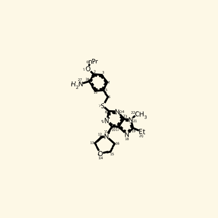 CCCOc1ccc(CSc2nc(N3CCOCC3)c3nc(CC)n(C)c3n2)cc1N